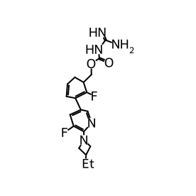 CCC1CN(c2ncc(C3=C(F)C(COC(=O)NC(=N)N)CC=C3)cc2F)C1